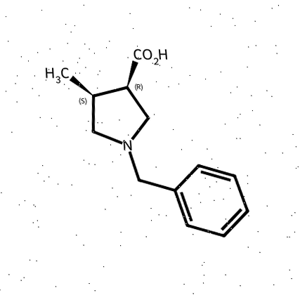 C[C@@H]1CN(Cc2ccccc2)C[C@@H]1C(=O)O